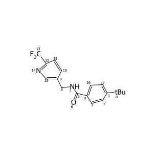 CC(C)(C)c1ccc(C(=O)NCc2ccc(C(F)(F)F)nc2)cc1